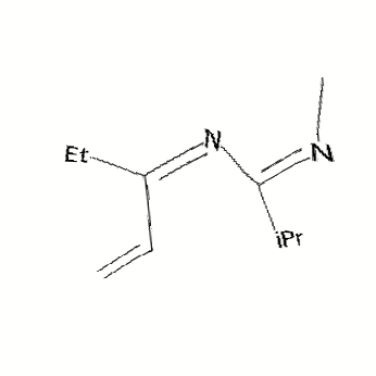 C=C/C(CC)=N\C(=N/C)C(C)C